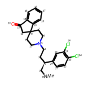 CNC[C@@H](CCN1CCC2(CC1)CC(=O)c1ccccc12)c1ccc(Cl)c(Cl)c1